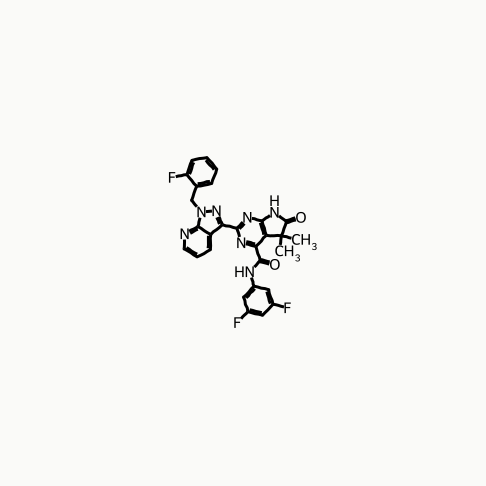 CC1(C)C(=O)Nc2nc(-c3nn(Cc4ccccc4F)c4ncccc34)nc(C(=O)Nc3cc(F)cc(F)c3)c21